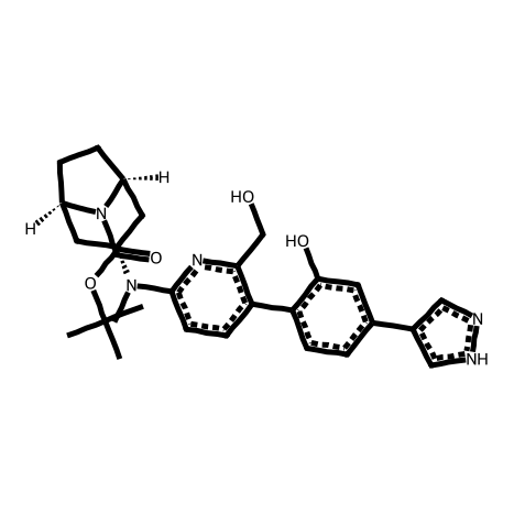 CN(c1ccc(-c2ccc(-c3cn[nH]c3)cc2O)c(CO)n1)[C@@H]1C[C@H]2CC[C@@H](C1)N2C(=O)OC(C)(C)C